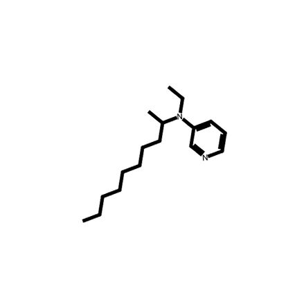 CCCCCCCCC(C)N(CC)c1cccnc1